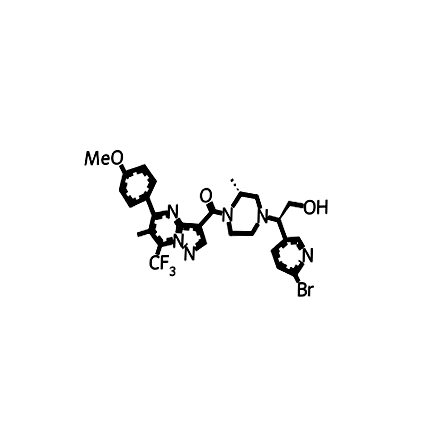 COc1ccc(-c2nc3c(C(=O)N4CCN([C@@H](CO)c5ccc(Br)nc5)C[C@H]4C)cnn3c(C(F)(F)F)c2C)cc1